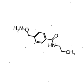 CCCNC(=O)c1ccc(CON)cc1